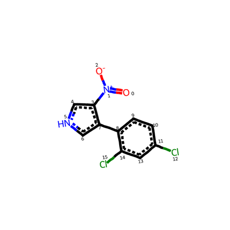 O=[N+]([O-])c1c[nH]cc1-c1ccc(Cl)cc1Cl